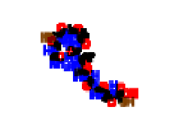 CC(C)C[C@H](NC(=O)CNC(=O)[C@@H](NC(=O)[C@H](C)NC(=O)[C@H](CS)NC(=O)CNC(=O)CN)C(C)C)C(=O)N[C@@H](C)C(=O)NCC(=O)NCC(=O)NC(C)(C)C(=O)N[C@@H](CS)C(=O)O